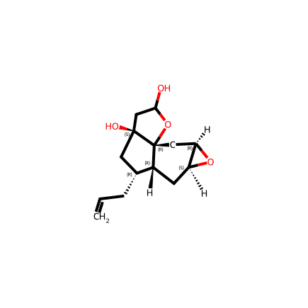 C=CC[C@@H]1C[C@]2(O)CC(O)O[C@@]23C[C@H]2O[C@H]2C[C@H]13